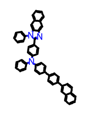 c1ccc(N(c2ccc(-c3ccc(-c4ccc5ccccc5c4)cc3)cc2)c2ccc(-c3nc4cc5ccccc5cc4n3-c3ccccc3)cc2)cc1